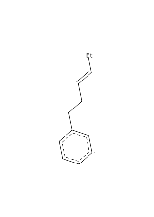 CCC=CCCc1c[c]ccc1